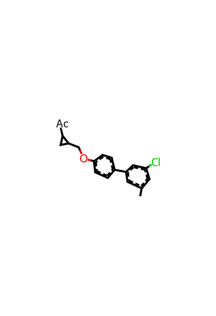 CC(=O)C1CC1COc1ccc(-c2cc(C)cc(Cl)c2)cc1